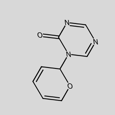 O=c1ncncn1C1C=CC=CO1